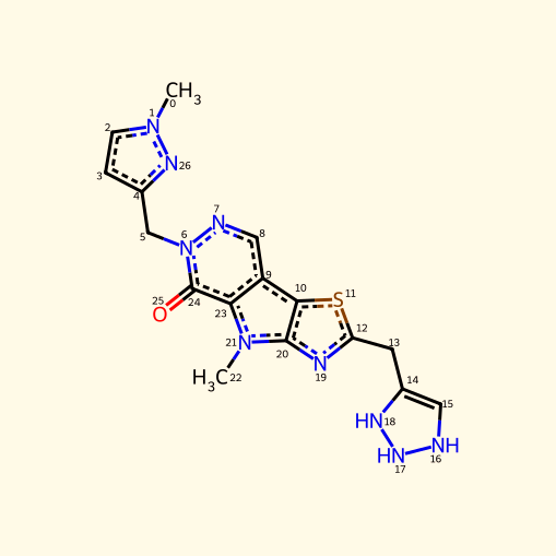 Cn1ccc(Cn2ncc3c4sc(CC5=CNNN5)nc4n(C)c3c2=O)n1